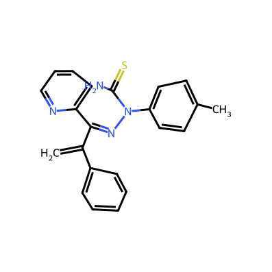 C=C(C(=NN(C(N)=S)c1ccc(C)cc1)c1ccccn1)c1ccccc1